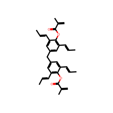 C=C(C)C(=O)Oc1c(C=CC)cc(Cc2cc(C=CC)c(OC(=O)C(=C)C)c(C=CC)c2)cc1C=CC